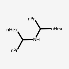 CCCCCCC(CCC)NC(CCC)CCCCCC